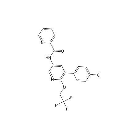 O=C(Nc1cnc(OCC(F)(F)F)c(-c2ccc(Cl)cc2)c1)c1ccccn1